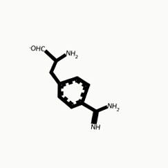 N=C(N)c1ccc(CC(N)[C]=O)cc1